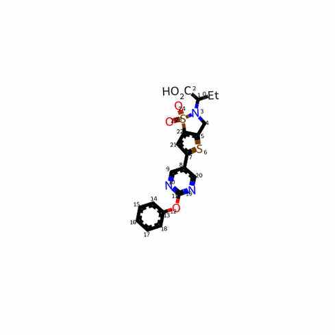 CCC(C(=O)O)N1Cc2sc(-c3cnc(Oc4ccccc4)nc3)cc2S1(=O)=O